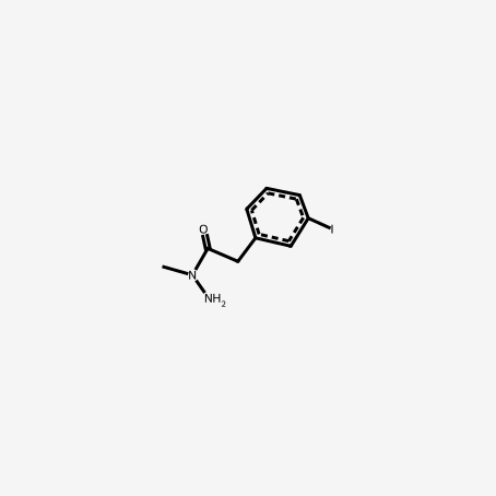 CN(N)C(=O)Cc1cccc(I)c1